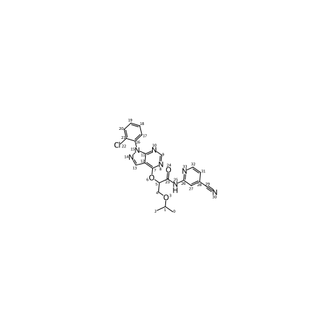 CC(C)OCC(Oc1ncnc2c1cnn2-c1ccccc1Cl)C(=O)Nc1cc(C#N)ccn1